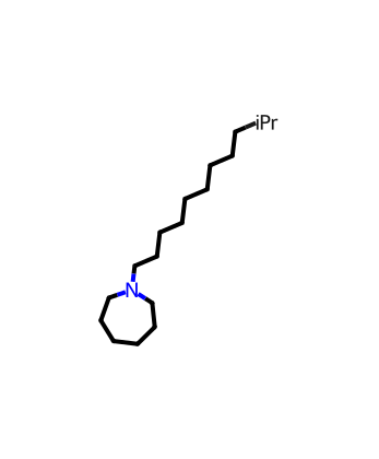 CC(C)CCCCCCCCCN1CCCCCC1